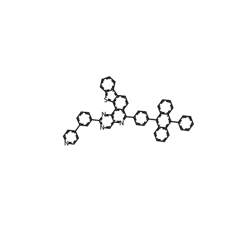 c1ccc(-c2c3ccccc3c(-c3ccc(-c4nc5cnc(-c6cccc(-c7ccncc7)c6)nc5c5c4ccc4c6ccccc6sc45)cc3)c3ccccc23)cc1